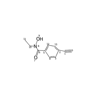 [C]#Cc1ccc(C(=O)N(O)CC)cc1